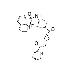 O=C(OC1CN(C(=O)c2ccc(NS(=O)(=O)c3cccc4cccnc34)c(F)c2)C1)c1ccccn1